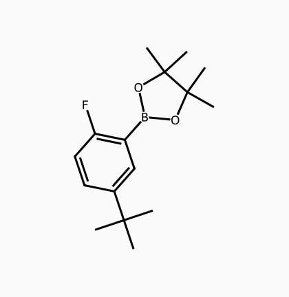 CC(C)(C)c1ccc(F)c(B2OC(C)(C)C(C)(C)O2)c1